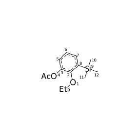 CCOc1c(OC(C)=O)cccc1[Si](C)(C)C